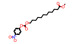 COC(=O)CCCCCCCCCCCOC(=O)Oc1ccc([N+](=O)[O-])cc1